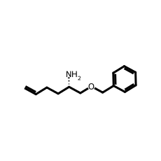 C=CCC[C@H](N)COCc1ccccc1